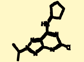 CC(C)n1nc2nc(Cl)nc(NC3CCCC3)c2n1